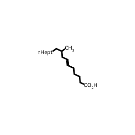 CCCCCCCCC(C)CC=CCCCCC(=O)O